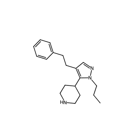 CCCn1ncc(CCc2ccccc2)c1C1CCNCC1